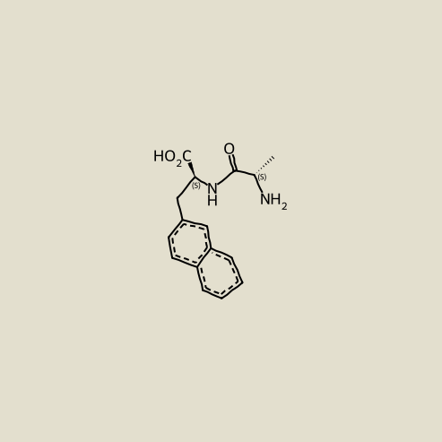 C[C@H](N)C(=O)N[C@@H](Cc1ccc2ccccc2c1)C(=O)O